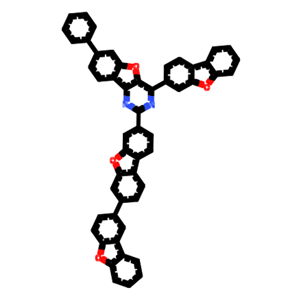 c1ccc(-c2ccc3c(c2)oc2c(-c4ccc5c(c4)oc4ccccc45)nc(-c4ccc5c(c4)oc4cc(-c6ccc7oc8ccccc8c7c6)ccc45)nc23)cc1